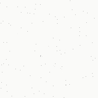 Oc1c(-c2nc3ccc(OC(F)(F)F)cc3[nH]2)n[nH]c1-c1ccccc1